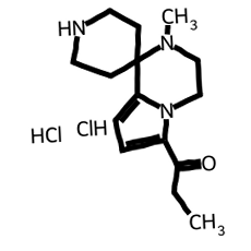 CCC(=O)c1ccc2n1CCN(C)C21CCNCC1.Cl.Cl